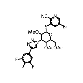 COC1C(Sc2cc(Br)cnc2C#N)OC(COC(C)=O)C(OC(C)=O)C1n1cc(-c2cc(F)c(C)c(F)c2)nn1